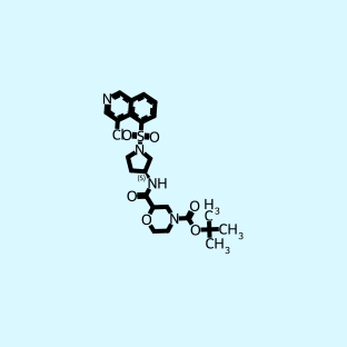 CC(C)(C)OC(=O)N1CCOC(C(=O)N[C@H]2CCN(S(=O)(=O)c3cccc4cncc(Cl)c34)C2)C1